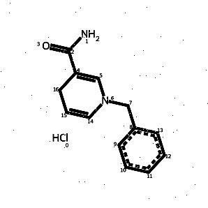 Cl.NC(=O)C1=CN(Cc2ccccc2)C=CC1